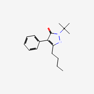 CCCCc1[nH]n(C(C)(C)C)c(=O)c1-c1ccccc1